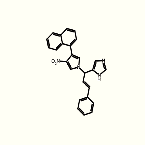 O=[N+]([O-])c1cn(C(C=Cc2ccccc2)c2cnc[nH]2)cc1-c1cccc2ccccc12